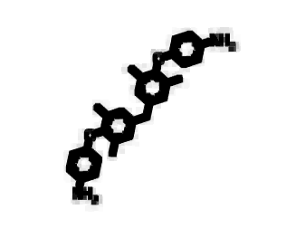 Cc1cc(Cc2cc(C)c(Oc3ccc(N)cc3)c(C)c2)cc(C)c1Oc1ccc(N)cc1